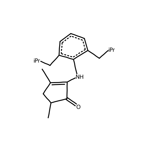 CC1=C(Nc2c(CC(C)C)cccc2CC(C)C)C(=O)C(C)C1